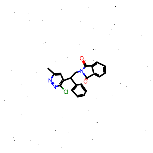 Cc1cc(C(CN2C(=O)c3ccccc3C2=O)c2ccccc2)c(Cl)nn1